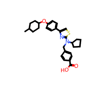 CC1CCC(Oc2ccc(-c3csc(N(Cc4ccc(C(=O)O)cc4)C4CCCC4)n3)cc2)CC1